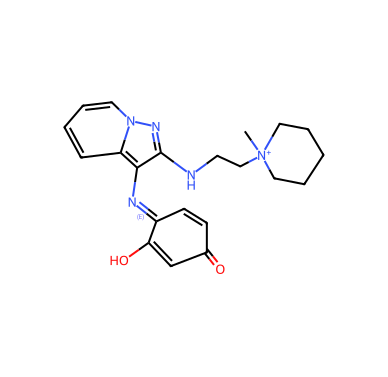 C[N+]1(CCNc2nn3ccccc3c2/N=C2\C=CC(=O)C=C2O)CCCCC1